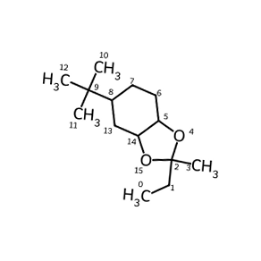 CCC1(C)OC2CCC(C(C)(C)C)CC2O1